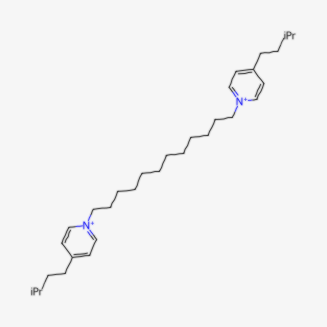 CC(C)CCc1cc[n+](CCCCCCCCCCCC[n+]2ccc(CCC(C)C)cc2)cc1